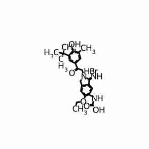 Br.CCOc1cc2c(cc1NC(=O)O)C(=N)N(CC(=O)c1cc(C)c(O)c(C(C)(C)C)c1)C2